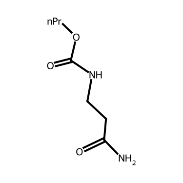 CCCOC(=O)NCCC(N)=O